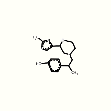 CC(CN1CCOC(c2csc(C(F)(F)F)n2)C1)c1ccc(O)cc1